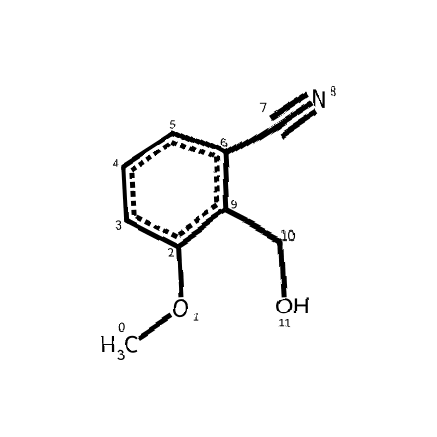 COc1cccc(C#N)c1CO